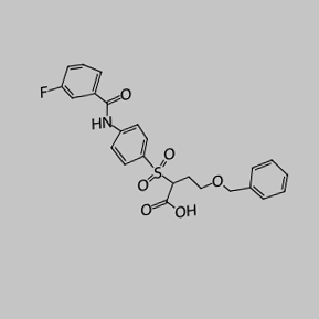 O=C(Nc1ccc(S(=O)(=O)C(CCOCc2ccccc2)C(=O)O)cc1)c1cccc(F)c1